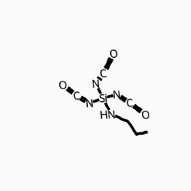 CCCN[Si](N=C=O)(N=C=O)N=C=O